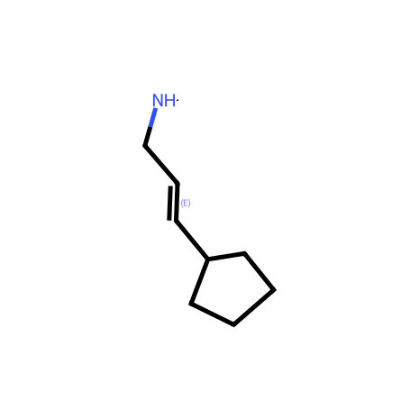 [NH]C/C=C/C1CCCC1